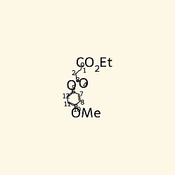 CCOC(=O)CCC(=O)Oc1ccc(OC)cc1